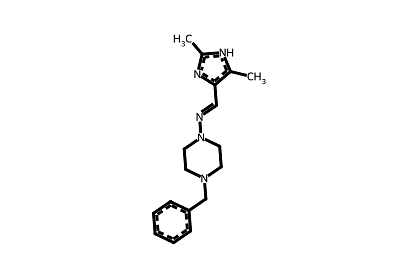 Cc1nc(C=NN2CCN(Cc3ccccc3)CC2)c(C)[nH]1